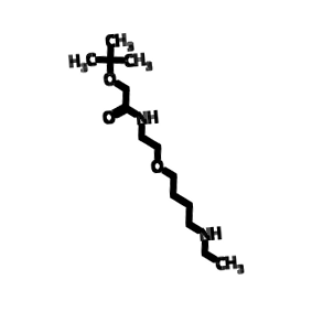 CCNCCCCOCCNC(=O)COC(C)(C)C